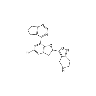 Clc1cc2c(c(-c3ncnc4c3CCC4)c1)OC(c1onc3c1CNCC3)C2